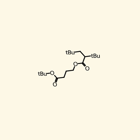 CC(C)(C)CC(C(=O)OCCCC(=O)OC(C)(C)C)C(C)(C)C